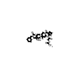 CCCCC1CN(CC2CCCCC2)C(=O)OC12CCN(C1(C)CCN(C(=O)c3ccsc3NC(=O)COC(=O)C(F)(F)F)CC1)CC2